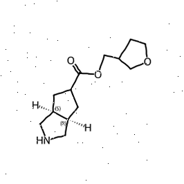 O=C(OCC1CCOC1)C1C[C@H]2CNC[C@H]2C1